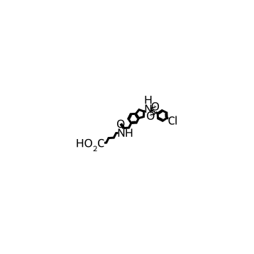 O=C(O)CCCCNC(=O)Cc1ccc2c(c1)CC(NS(=O)(=O)c1ccc(Cl)cc1)C2